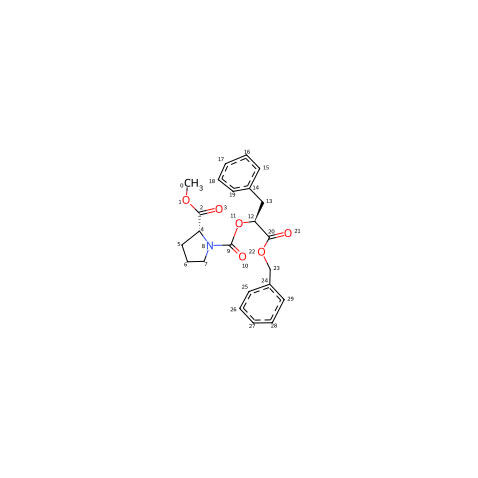 COC(=O)[C@H]1CCCN1C(=O)O[C@@H](Cc1ccccc1)C(=O)OCc1ccccc1